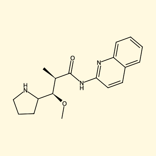 CO[C@@H](C1CCCN1)[C@@H](C)C(=O)Nc1ccc2ccccc2n1